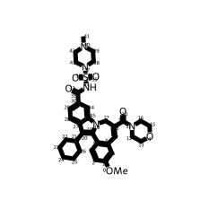 COc1ccc2c(c1)C=C(C(=O)N1CCOCC1)Cn1c-2c(C2CCCCC2)c2ccc(C(=O)NS(=O)(=O)N3CCN(C)CC3)cc21